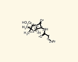 CCCSCC(=O)NC1C(=O)N2[C@@H]1SC(C)(C)[C@@H]2C(=O)O